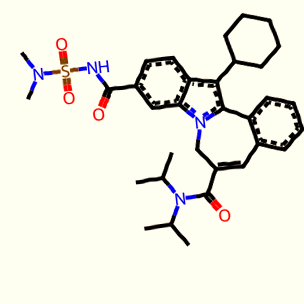 CC(C)N(C(=O)C1=Cc2ccccc2-c2c(C3CCCCC3)c3ccc(C(=O)NS(=O)(=O)N(C)C)cc3n2C1)C(C)C